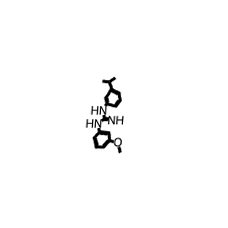 COc1cccc(NC(=N)Nc2cccc(C(C)C)c2)c1